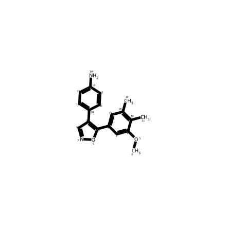 COc1cc(-c2oncc2-c2ccc(N)cc2)cc(C)c1C